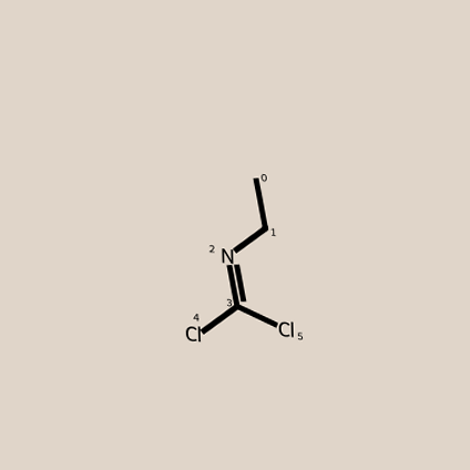 CCN=C(Cl)Cl